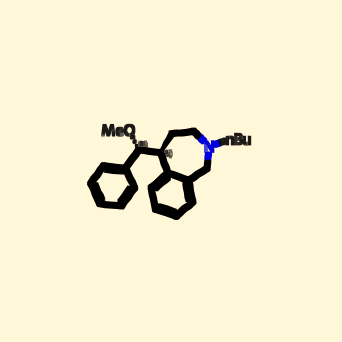 CCCCN1CC[C@H]([C@@H](OC)c2ccccc2)c2ccccc2C1